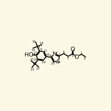 CCOC(=O)CCc1nc(-c2cc(C(C)(C)C)c(O)c(C(C)(C)C)c2)cs1